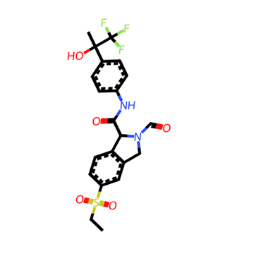 CCS(=O)(=O)c1ccc2c(c1)CN(C=O)C2C(=O)Nc1ccc(C(C)(O)C(F)(F)F)cc1